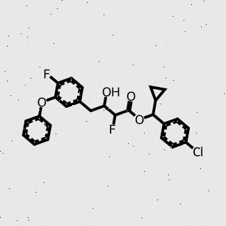 O=C(OC(c1ccc(Cl)cc1)C1CC1)C(F)C(O)Cc1ccc(F)c(Oc2ccccc2)c1